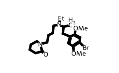 CCN(CCCCN1CCCCC1=O)C(C)Cc1cc(OC)c(Br)cc1OC